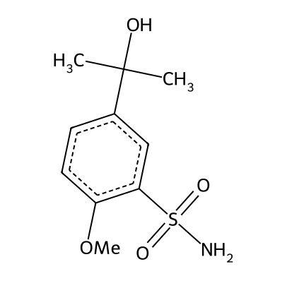 COc1ccc(C(C)(C)O)cc1S(N)(=O)=O